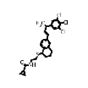 O=C(NCCSC1CCCc2cc(/C=C/C(c3cc(Cl)c(Cl)c(Cl)c3)C(F)(F)F)ccc21)C1CC1